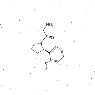 CSc1ccccc1[C@H]1CCCN1C(=O)CN